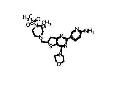 C[C@H]1CN(CC2Cc3nc(-c4ccc(N)nc4)nc(N4CCOCC4)c3S2)CCN1S(C)(=O)=O